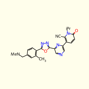 CNCc1ccc(-c2nnc(-c3cncc(-c4ccc(=O)n(C(C)C)c4C#N)n3)o2)c(C)c1